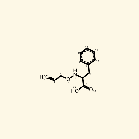 C=CCONC(Cc1ccccc1)C(=O)O